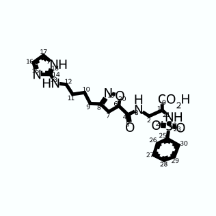 O=C(O)C(CNC(=O)C1CC(CCCCNc2ncc[nH]2)=NO1)NS(=O)(=O)c1ccccc1